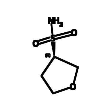 NS(=O)(=O)[C@@H]1CCOC1